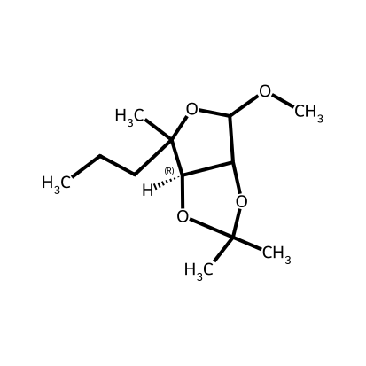 CCCC1(C)OC(OC)C2OC(C)(C)O[C@H]21